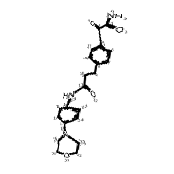 NC(=O)C(=O)c1ccc(C[CH]C(=O)Nc2ccc(N3CCOCC3)cc2)cc1